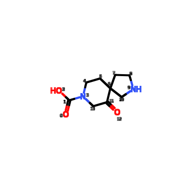 O=C(O)N1CCC2(CCNC2)C(=O)C1